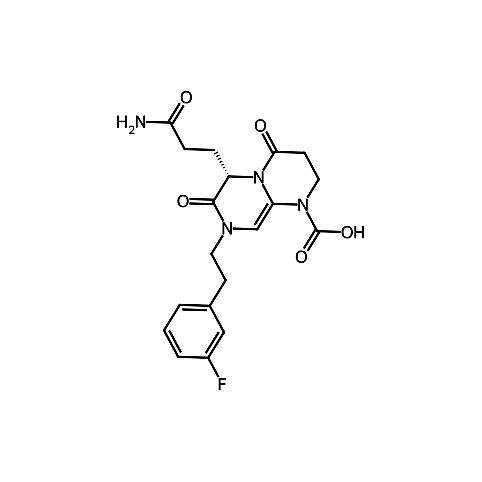 NC(=O)CC[C@H]1C(=O)N(CCc2cccc(F)c2)C=C2N(C(=O)O)CCC(=O)N21